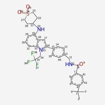 CC(C)(C)c1ccc(C(=O)NCc2ccc(-c3cc4c(NC5CCS(=O)(=O)CC5)cccc4n3CC(F)(F)F)cc2)cc1